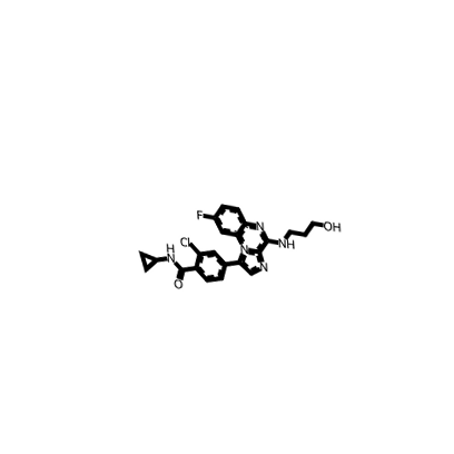 O=C(NC1CC1)c1ccc(-c2cnc3c(NCCCO)nc4ccc(F)cc4n23)cc1Cl